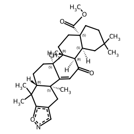 COC(=O)[C@]12CCC(C)(C)C[C@H]1[C@H]1C(=O)C=C3[C@@]4(C)Cc5cnoc5C(C)(C)[C@@H]4CC[C@@]3(C)[C@]1(C)CC2